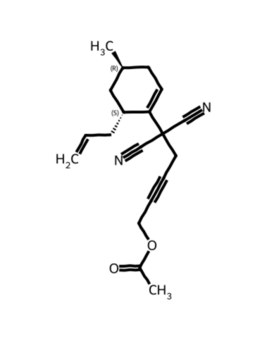 C=CC[C@@H]1C[C@@H](C)CC=C1C(C#N)(C#N)CC#CCOC(C)=O